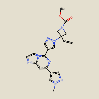 C=CC1(n2cc(-c3nc(-c4cnn(C)c4)cc4nccn34)cn2)CN(C(=O)OC(C)(C)C)C1